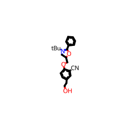 CC(C)(C)N1CC(COc2ccc(CCO)cc2C#N)OC1c1ccccc1